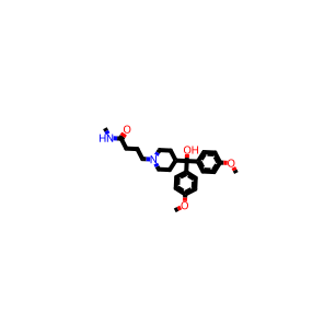 CNC(=O)CCCN1CCC(C(O)(c2ccc(OC)cc2)c2ccc(OC)cc2)CC1